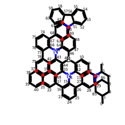 CC1CC2CC(C)N(c3ccc4c(c3)N(c3c(-c5ccccc5)cccc3-c3ccccc3)c3cc(-c5ccccc5)cc5c3B4c3ccc(-n4c6ccccc6c6ccccc64)cc3N5c3c(-c4ccccc4)cccc3-c3ccccc3)C(C1)C2